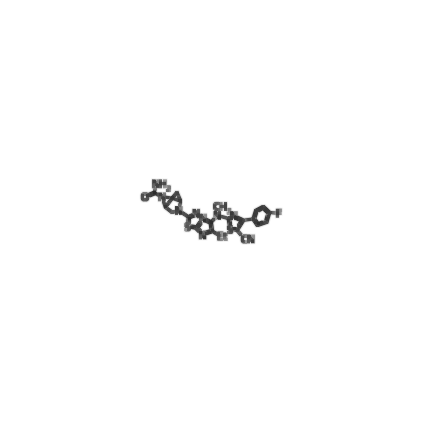 CCc1nc2sc(N3CC4N(C(N)=O)C45CC35)nn2c1N(C)c1nc(-c2ccc(F)cc2)c(C#N)s1